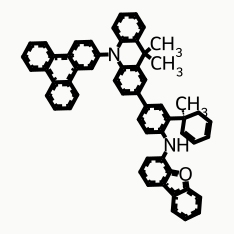 CC1(C)c2ccccc2N(c2ccc3c4ccccc4c4ccccc4c3c2)c2ccc(-c3ccc(Nc4cccc5c4oc4ccccc45)c([C@]4(C)C=CC=CC4)c3)cc21